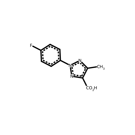 Cc1nn(-c2ccc(F)cc2)nc1C(=O)O